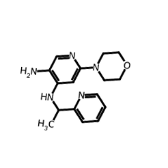 CC(Nc1cc(N2CCOCC2)ncc1N)c1ccccn1